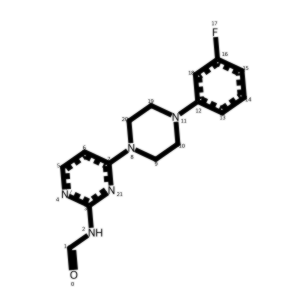 O=CNc1nccc(N2CCN(c3cccc(F)c3)CC2)n1